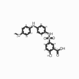 COc1ccc(Nc2ccc(NS(=O)(=O)c3ccc(Cl)c(C(=O)O)c3)cc2)cc1